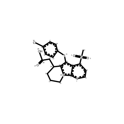 CS(=O)(=O)c1ccnc2c1c(Sc1ccc(Cl)cc1)c1n2CCCC1CC(=O)O